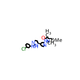 COCc1c(C)c(=O)n(-c2cc(-c3ccnc(Nc4cccc(Cl)c4)n3)ccn2)n1C